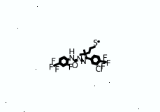 CSCCCC1(C)CN(C(=O)Nc2ccc(C(F)(F)F)cc2F)N=C1c1ccc(C(F)(F)F)c(Cl)c1